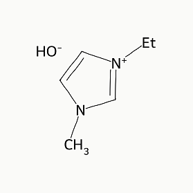 CC[n+]1ccn(C)c1.[OH-]